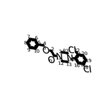 O=C(COCc1ccccc1)N1CCN(c2cc(Cl)ccc2Cl)CC1